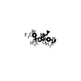 C[C@H]1Cc2c(n3ncc(CC4CC4)c3n(-c3ccc(-c4nccn4C)cc3)c2=O)CN1C(=O)c1ccc(Br)c(C(F)(F)F)c1